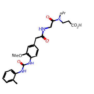 CCCN(CCC(=O)O)C(=O)CNC(=O)Cc1ccc(NC(=O)Nc2ccccc2C)c(OC)c1